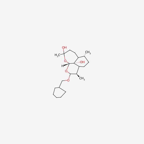 C[C@H]1C(OCC2CCCCC2)O[C@@H]2OC(C)(O)CCC3[C@H](C)CCC1[C@]32O